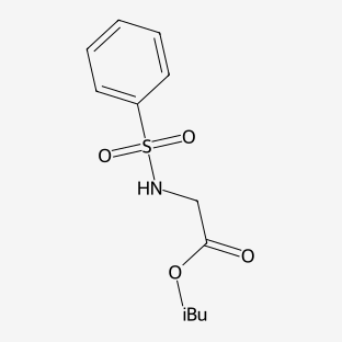 CCC(C)OC(=O)CNS(=O)(=O)c1ccccc1